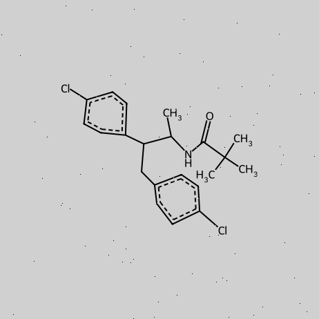 CC(NC(=O)C(C)(C)C)C(Cc1ccc(Cl)cc1)c1ccc(Cl)cc1